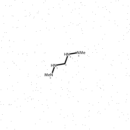 CNNCNNC